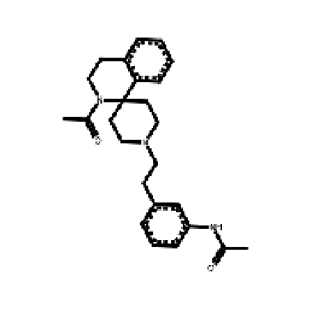 CC(=O)Nc1cccc(CCN2CCC3(CC2)c2ccccc2CCN3C(C)=O)c1